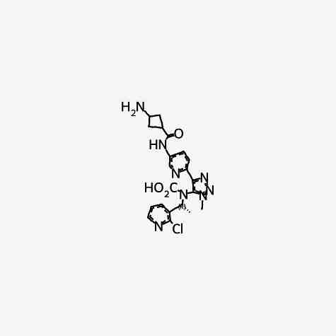 C[C@H](c1cccnc1Cl)N(C(=O)O)c1c(-c2ccc(NC(=O)C3CC(N)C3)cn2)nnn1C